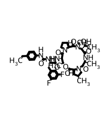 CCc1ccc(NC(=O)N[C@@H](Cc2cc(F)cc(F)c2)C(=O)N[C@@H]2C(=O)N3CCC[C@H]3C(=O)N(C)[C@@H](C(C)O)C(=O)N[C@@H](C)C(=O)N3C[C@@H](C)C[C@H]3C(=O)O[C@H]2C)cc1